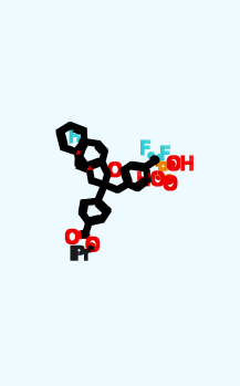 CC(C)OC(=O)c1ccc(C(CC=Cc2ccccc2)(Cc2ccc(C(F)(F)P(=O)(O)O)cc2)C(=O)c2ccc(F)cc2)cc1